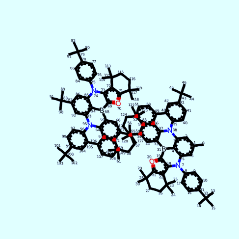 Cc1cc2c3c(c1)N(c1ccc(C(C)(C)C)cc1)c1c(oc4c1C(C)(C)CCC4(C)C)B3c1cc3c(cc1N2c1ccc(C(C)(C)C)cc1-c1cccc(CC2(C)CCC(C)(C)c4cc5c(cc42)B2c4oc6c(c4N(c4ccc(C(C)(C)C)cc4)c4cc(C(C)(C)C)cc(c42)N5c2ccc(C(C)(C)C)cc2-c2ccccc2)C(C)(C)CCC6(C)C)c1)C(C)(C)CCC3(C)C